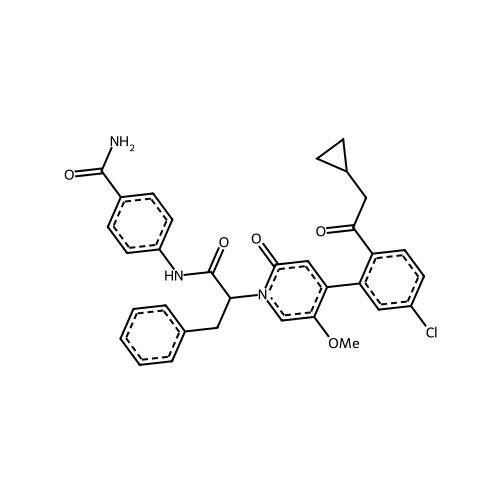 COc1cn(C(Cc2ccccc2)C(=O)Nc2ccc(C(N)=O)cc2)c(=O)cc1-c1cc(Cl)ccc1C(=O)CC1CC1